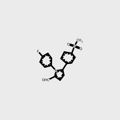 CS(=O)(=O)c1ccc(-c2ccc(C=O)n2-c2ccc(F)cc2)cc1